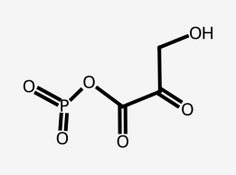 O=C(CO)C(=O)OP(=O)=O